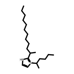 CCCCCCCCCCC(C)c1[nH]cc[n+]1C(C)CCCC